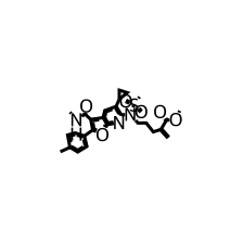 C=C(CCCN(c1nc2oc(-c3ccc(C)cc3)c(C(=O)NC)c2cc1C1CC1)S(C)(=O)=O)C(=O)OC